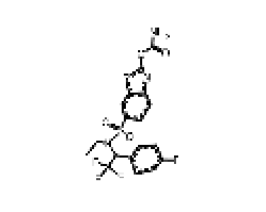 CCN(C(c1ccc(F)cc1)C(F)(F)F)S(=O)(=O)c1ccc2nc(OC(N)=O)sc2c1